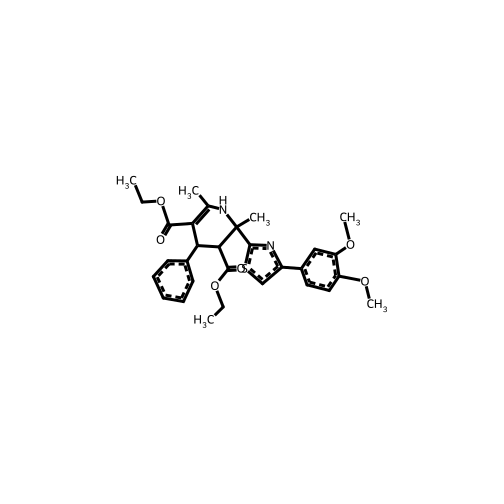 CCOC(=O)C1=C(C)NC(C)(c2nc(-c3ccc(OC)c(OC)c3)cs2)C(C(=O)OCC)C1c1ccccc1